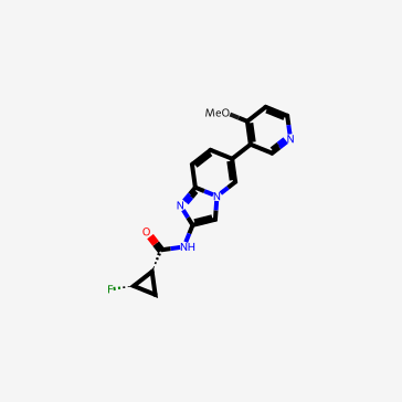 COc1ccncc1-c1ccc2nc(NC(=O)[C@@H]3C[C@@H]3F)cn2c1